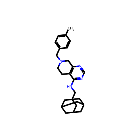 Cc1ccc(CN2CCc3c(ncnc3NCC34CC5CC(CC(C5)C3)C4)C2)cc1